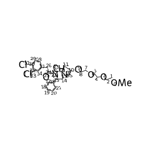 COCCOCCOCCO[C@H]1CCN(CC(c2ccccc2)N(C)C(=O)Cc2ccc(Cl)c(Cl)c2)C1